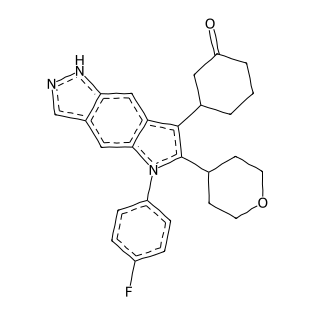 O=C1CCCC(c2c(C3CCOCC3)n(-c3ccc(F)cc3)c3cc4cn[nH]c4cc23)C1